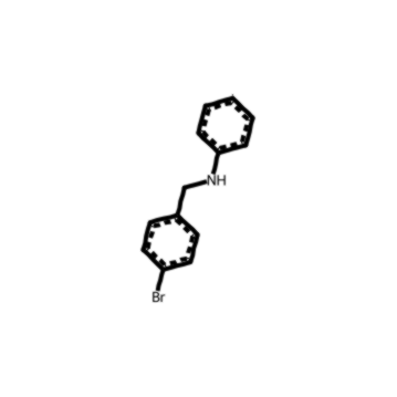 Brc1ccc(CNc2cc[c]cc2)cc1